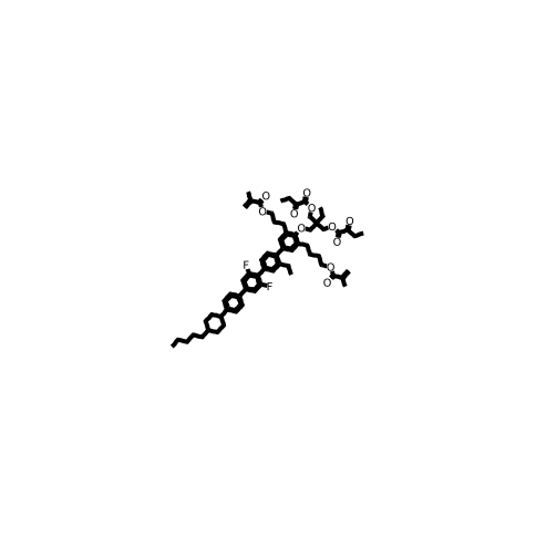 C=C(C)C(=O)OCCCCc1cc(-c2ccc(-c3c(F)cc(-c4ccc(C5CCC(CCCCC)CC5)cc4)cc3F)cc2CC)cc(CCCOC(=O)C(=C)C)c1OCC(CC)(COC(=O)C(=O)CC)COC(=O)C(=O)CC